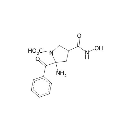 NC1(C(=O)c2ccccc2)CC(C(=O)NO)CN1C(=O)O